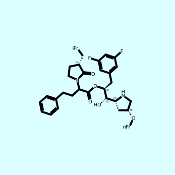 CCCO[C@H]1CN[C@@H]([C@H](O)[C@H](Cc2cc(F)cc(F)c2)OC(=O)C(CCc2ccccc2)N2CC[C@H](CC(C)C)C2=O)C1